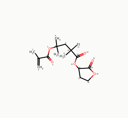 C=C(C)C(=O)OC(C)(C)CC(C)(CC)C(=O)OC1CCOC1=O